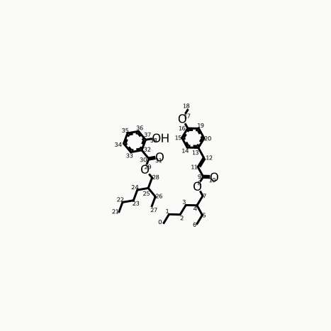 CCCCC(CC)COC(=O)/C=C/c1ccc(OC)cc1.CCCCC(CC)COC(=O)c1ccccc1O